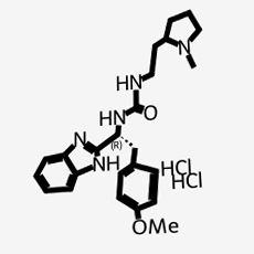 COc1ccc(C[C@@H](NC(=O)NCCC2CCCN2C)c2nc3ccccc3[nH]2)cc1.Cl.Cl